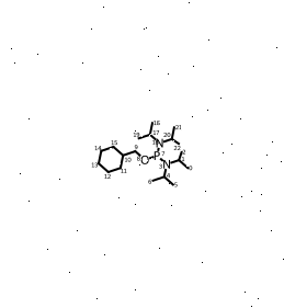 CC(C)N(C(C)C)P(OCC1CCCCC1)N(C(C)C)C(C)C